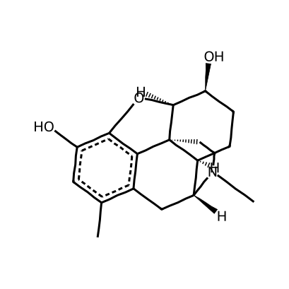 Cc1cc(O)c2c3c1C[C@@H]1[C@@H]4CC[C@H](O)[C@H](O2)[C@]34CCN1C